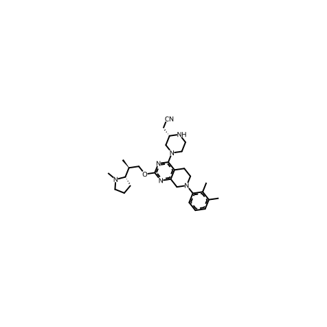 Cc1cccc(N2CCc3c(nc(OC[C@H](C)[C@@H]4CCCN4C)nc3N3CCN[C@@H](CC#N)C3)C2)c1C